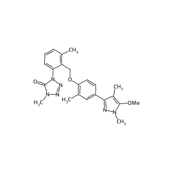 COc1c(C)c(-c2ccc(OCc3c(C)cccc3-n3nnn(C)c3=O)c(C)c2)nn1C